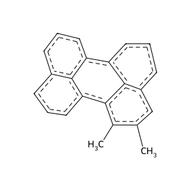 Cc1cc2cccc3c4cccc5cccc(c(c1C)c23)c54